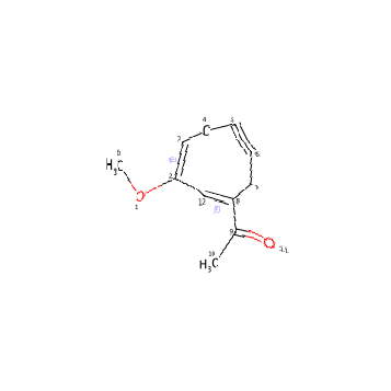 COC1=C/CC#CC/C(C(C)=O)=C\1